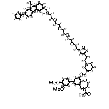 CCC(=O)N1CCOc2c(cc(-c3ccc(OC)c(OC)c3)cc2OC[C@H]2CCCN(CCc3cn(CCOCCOCCOCCOCCNCc4ccc5c(c4)c4ccc(-c6cccs6)cc4n5CC)nn3)C2)C1